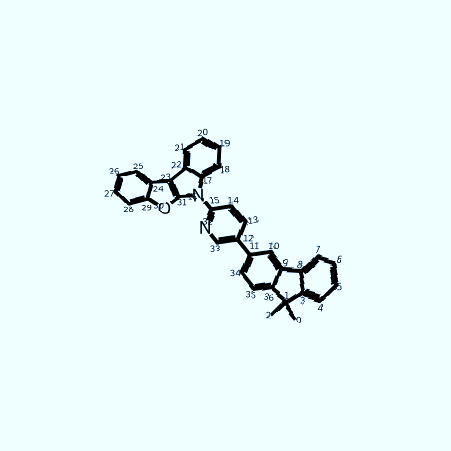 CC1(C)c2ccccc2-c2cc(-c3ccc(-n4c5ccccc5c5c6ccccc6oc54)nc3)ccc21